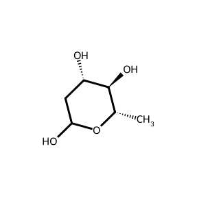 C[C@@H]1OC(O)C[C@H](O)[C@H]1O